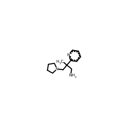 CC(CN)(CN1CCCC1)c1ccccn1